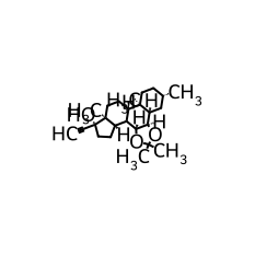 C#C[C@]1(O)CC[C@H]2C3[C@H]4OC(C)(C)O[C@@H]4[C@H]4C[C@@H](C)CC[C@]4(C)[C@H]3CC[C@@]21C